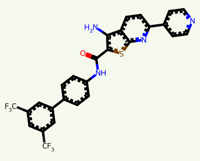 Nc1c(C(=O)Nc2ccc(-c3cc(C(F)(F)F)cc(C(F)(F)F)c3)cc2)sc2nc(-c3ccncc3)ccc12